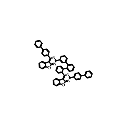 c1ccc(-c2ccc(-c3nc(-c4ccccc4-c4ccccc4-c4cccc(-c5nc(-c6ccc(-c7ccccc7)cc6)c6c(n5)oc5ccccc56)c4)c4c(n3)oc3ccccc34)cc2)cc1